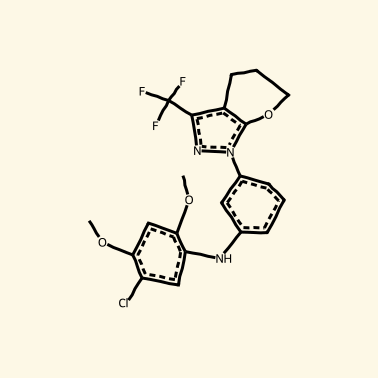 COc1cc(OC)c(Nc2cccc(-n3nc(C(F)(F)F)c4c3OCCC4)c2)cc1Cl